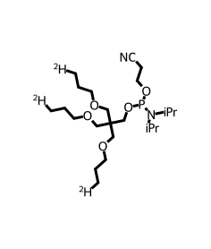 [2H]CCCOCC(COCCC[2H])(COCCC[2H])COP(OCCC#N)N(C(C)C)C(C)C